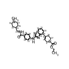 CCOC(=O)N1CC=C(c2cccn3nc(Nc4ccc(C(=O)NCC5CCN(C)CC5)cc4)nc23)CC1